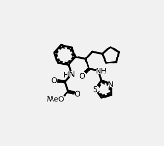 COC(=O)C(=O)Nc1ccccc1C(CC1CCCC1)C(=O)Nc1nccs1